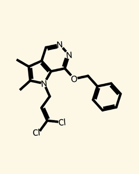 Cc1c(C)n(CC=C(Cl)Cl)c2c(OCc3ccccc3)nncc12